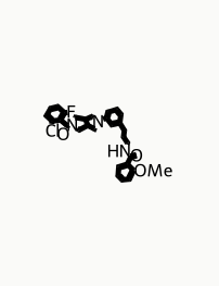 COc1ccccc1C(=O)NCCCc1cccc(N2CC3CN(C(=O)c4c(F)cccc4Cl)CC3C2)c1